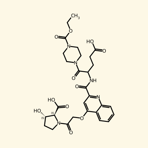 CCOC(=O)N1CCN(C(=O)C(CCC(=O)O)NC(=O)c2cc(OCC(=O)N3CC[C@H](O)[C@H]3C(=O)O)c3ccccc3n2)CC1